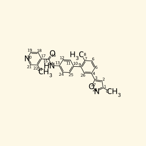 Cc1cc(-c2ccc(C)c(-c3ccc(NC(=O)c4ccncc4C)cc3)c2)on1